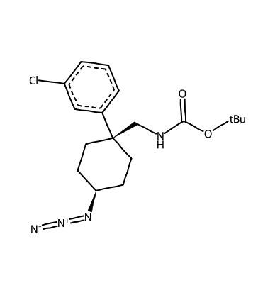 CC(C)(C)OC(=O)NC[C@]1(c2cccc(Cl)c2)CC[C@H](N=[N+]=[N-])CC1